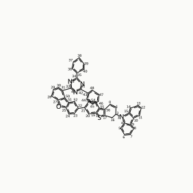 C1=CC(n2c3ccccc3c3ccccc32)Cc2sc3cc(-c4ccc5oc6cccc(-c7nc(-c8ccccc8)nc(-c8ccccc8)n7)c6c5c4)ccc3c21